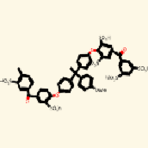 COc1ccc(C(C)(c2ccc(Oc3ccc(C(=O)c4ccc(C)c(S(=O)(=O)O)c4)cc3S(=O)(=O)O)cc2)c2ccc(Oc3c(S(=O)(=O)O)cc(C(=O)c4cc(S(=O)(=O)O)cc(S(=O)(=O)O)c4)cc3S(=O)(=O)O)cc2)cc1